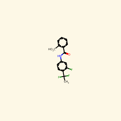 CC(F)(F)c1ccc(NC(=O)c2ccccc2C(=O)O)cc1F